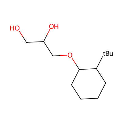 CC(C)(C)C1CCCCC1OCC(O)CO